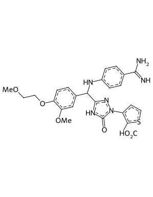 COCCOc1ccc(C(Nc2ccc(C(=N)N)cc2)c2nn(-c3ccsc3C(=O)O)c(=O)[nH]2)cc1OC